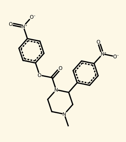 CN1CCN(C(=O)Oc2ccc([N+](=O)[O-])cc2)C(c2ccc([N+](=O)[O-])cc2)C1